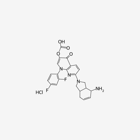 Cl.NC1C=CCC2CN(c3ccc4c(=O)c(OC(=O)O)cn(-c5ccc(F)cc5F)c4n3)CC12